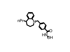 CCCC1CCCN(Cc2ccc(C(=O)NO)cc2)c2ccccc21